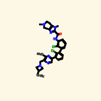 COc1nc(-c2cccc(-c3cccc(NC(=O)c4nc5c(n4C)CCN(C)C5)c3Cl)c2Cl)cnc1CN1CC(NC(C)=O)C1